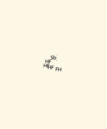 F.F.F.F.[Sb]